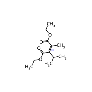 CCOC(=O)/C(C)=C(\C(=O)OCC)C(C)C